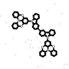 c1ccc2c(c1)Oc1cc(-n3c4ccccc4c4cc(-c5ccc6c(c5)c5ccccc5n6-c5cc6c7c(c5)Oc5ccccc5N7c5ccccc5O6)ccc43)cc3c1N2c1ccccc1O3